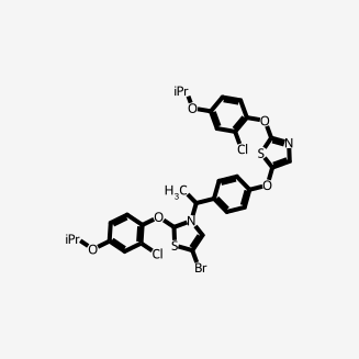 CC(C)Oc1ccc(Oc2ncc(Oc3ccc(C(C)N4C=C(Br)SC4Oc4ccc(OC(C)C)cc4Cl)cc3)s2)c(Cl)c1